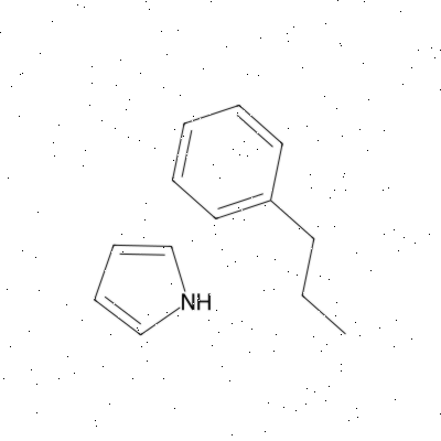 CCCc1ccccc1.c1cc[nH]c1